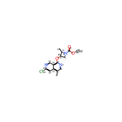 Cc1cnc(O[C@@H]2CN(C(=O)OC(C)(C)C)C2C)c2cnc(Cl)cc12